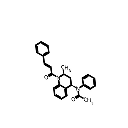 CC(=O)N(c1ccccc1)[C@@H]1C[C@H](C)N(C(=O)C=Cc2ccccc2)c2ccccc21